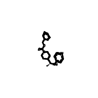 C[C@@H](Nc1ccncc1)C1CCN(C(=O)OCc2ccccc2)CC1